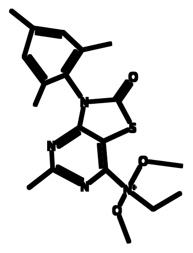 CC[N+](OC)(OC)c1nc(C)nc2c1sc(=O)n2-c1c(C)cc(C)cc1C